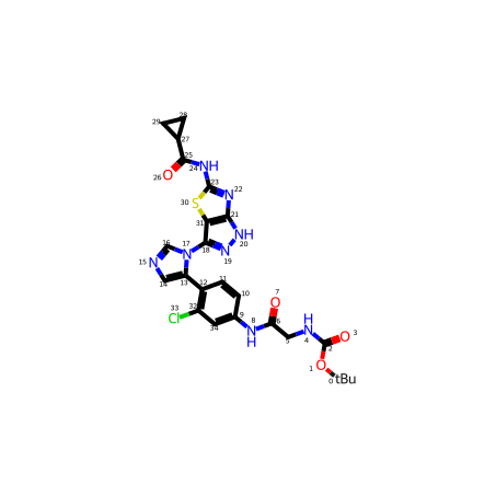 CC(C)(C)OC(=O)NCC(=O)Nc1ccc(-c2cncn2-c2n[nH]c3nc(NC(=O)C4CC4)sc23)c(Cl)c1